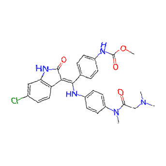 COC(=O)Nc1ccc(C(Nc2ccc(N(C)C(=O)CN(C)C)cc2)=C2C(=O)Nc3cc(Cl)ccc32)cc1